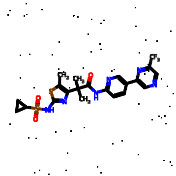 Cc1sc(NS(=O)(=O)C2CC2)nc1C(C)(C)C(=O)Nc1ccc(-c2cncc(C(F)(F)F)n2)cn1